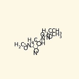 C=CC(=O)N1CCCC(c2cnccc2-c2ccc(CNC(=O)c3cc(C(C)(C)C)on3)c(C)c2)C1